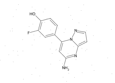 Nc1cc(-c2ccc(O)c(F)c2)n2nccc2n1